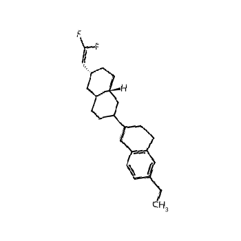 CCc1ccc2c(c1)CCC(C1CCC3C[C@H](C=C(F)F)CC[C@@H]3C1)C2